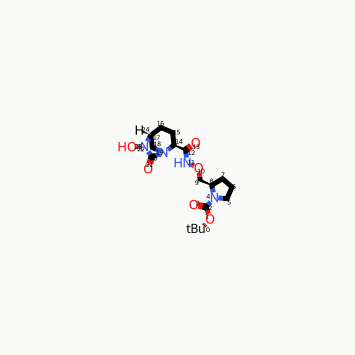 CC(C)(C)OC(=O)N1CCC[C@@H]1CONC(=O)[C@@H]1CC[C@H]2CN1C(=O)N2O